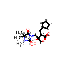 CN1C(=O)N(CC2(O)COC(=O)C2CC2CCCC2)C(=O)C1(C)C